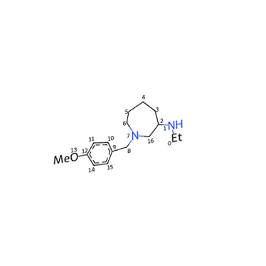 CCNC1CCCCN(Cc2ccc(OC)cc2)C1